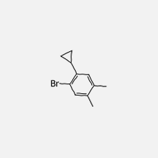 Cc1cc(Br)c(C2CC2)cc1C